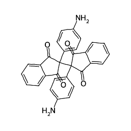 Nc1ccc(C2(C3(c4ccc(N)cc4)C(=O)c4ccccc4C3=O)C(=O)c3ccccc3C2=O)cc1